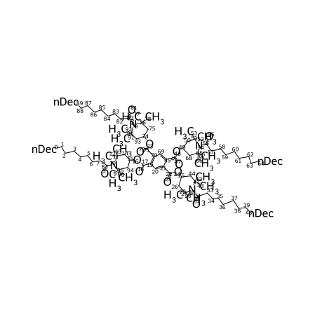 CCCCCCCCCCCCCCCCCC(=O)N1C(C)(C)CC(OC(=O)c2cc(C(=O)OC3CC(C)(C)N(C(=O)CCCCCCCCCCCCCCCCC)C(C)(C)C3)c(C(=O)OC3CC(C)(C)N(C(=O)CCCCCCCCCCCCCCCCC)C(C)(C)C3)cc2C(=O)OC2CC(C)(C)N(C(=O)CCCCCCCCCCCCCCCCC)C(C)(C)C2)CC1(C)C